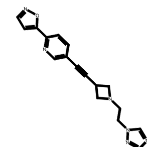 C(#CC1CN(CCn2cncn2)C1)c1ccc(-c2ccno2)nc1